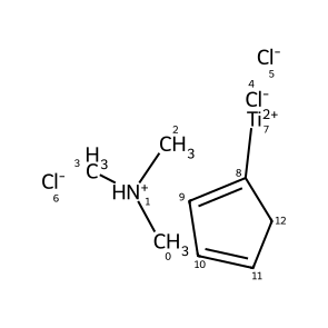 C[NH+](C)C.[Cl-].[Cl-].[Cl-].[Ti+2][C]1=CC=CC1